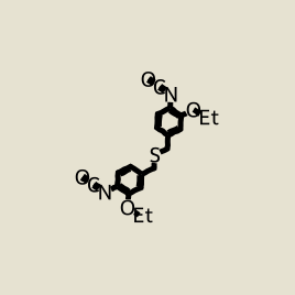 CCOc1cc(CSCc2ccc(N=C=O)c(OCC)c2)ccc1N=C=O